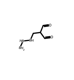 BBBCC(C=O)C=O